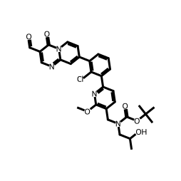 COc1nc(-c2cccc(-c3ccn4c(=O)c(C=O)cnc4c3)c2Cl)ccc1CN(CC(C)O)C(=O)OC(C)(C)C